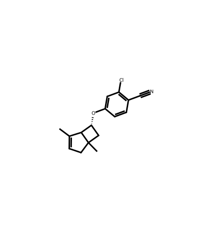 CC1=CCC2(C)C[C@@H](Oc3ccc(C#N)c(Cl)c3)C12